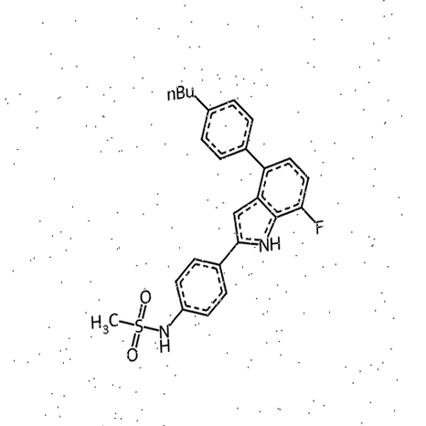 CCCCc1ccc(-c2ccc(F)c3[nH]c(-c4ccc(NS(C)(=O)=O)cc4)cc23)cc1